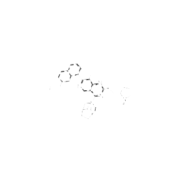 Cc1ccc2cccc(-c3ncc4c(N5CC6CCC(C5)N6)nc(OC[C@@H]5CCCN5C)nc4c3F)c2c1